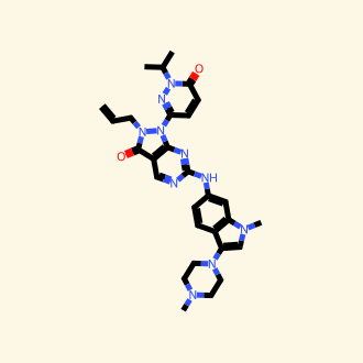 C=CCn1c(=O)c2cnc(Nc3ccc4c(N5CCN(C)CC5)cn(C)c4c3)nc2n1-c1ccc(=O)n(C(C)C)n1